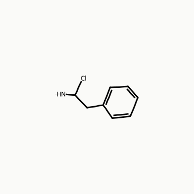 [NH]C(Cl)Cc1ccccc1